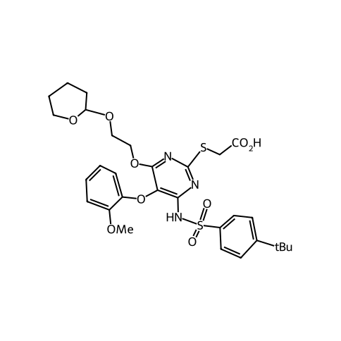 COc1ccccc1Oc1c(NS(=O)(=O)c2ccc(C(C)(C)C)cc2)nc(SCC(=O)O)nc1OCCOC1CCCCO1